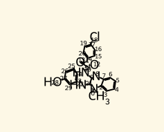 CN1c2ccccc2N=C(NS(=O)(=O)c2ccc(Cl)cc2)C1Nc1cccc(O)c1